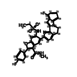 CCS(=O)(=O)Nc1nc2oc(-c3ccc(F)cc3)c(C(=O)NC)c2cc1-c1ccc2c(n1)-c1cc3c(F)cccc3n1CC2